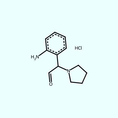 Cl.Nc1ccccc1C(C=O)N1CCCC1